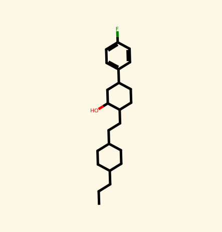 CCCC1CCC(CCC2CCC(c3ccc(F)cc3)CC2O)CC1